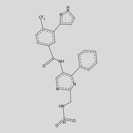 O=C(Nc1cnc(CN[SH](=O)=O)nc1-c1ccccc1)c1ccc(C(F)(F)F)c(-c2cc[nH]n2)c1